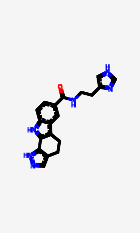 O=C(NCCc1c[nH]cn1)c1ccc2[nH]c3c(c2c1)CCc1cn[nH]c1-3